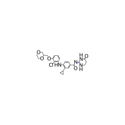 O=C1CCN/C(=N\C(=O)c2ccc(Nc3cccc(OCC4COCCO4)c3Cl)c(C3CC3)c2)N1